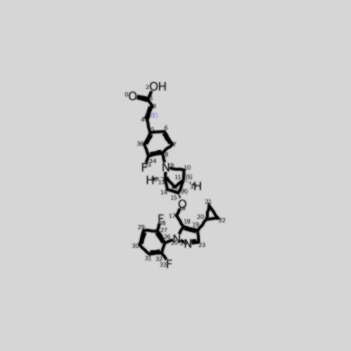 O=C(O)/C=C/c1ccc(N2C[C@@H]3C[C@H]2C[C@H]3OCc2c(C3CC3)cnn2-c2c(F)cccc2F)c(F)c1